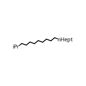 [CH2]C(C)CCCCCCCCCCCCCCCC